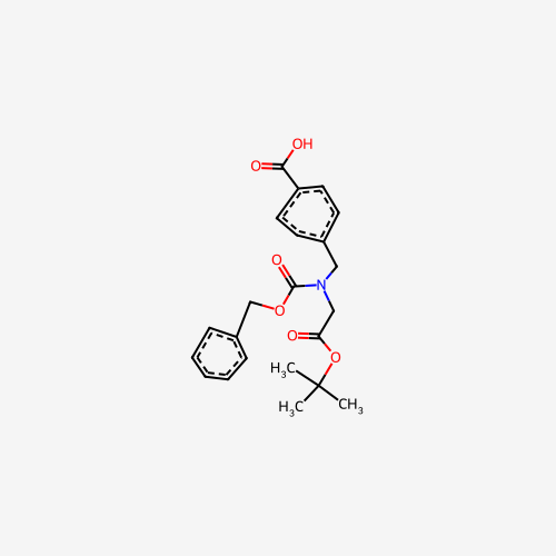 CC(C)(C)OC(=O)CN(Cc1ccc(C(=O)O)cc1)C(=O)OCc1ccccc1